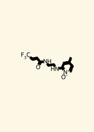 Cc1cc[n+]([O-])c(NCCNC(=O)C=CC(F)(F)F)c1